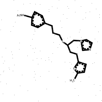 CC(=O)Nc1ccc(CCCSC(CCc2ccc(C)s2)Cn2ccnc2)cc1